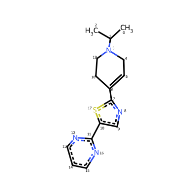 CC(C)N1CC=C(c2ncc(-c3ncccn3)s2)CC1